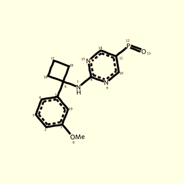 COc1cccc(C2(Nc3ncc(P=O)cn3)CCC2)c1